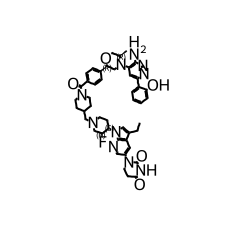 CCc1cn([C@H]2CCN(CC3CCN(C(=O)c4ccc([C@@H]5CN(c6cc(-c7ccccc7O)nnc6N)[C@H](C)CO5)cc4)CC3)C[C@H]2F)c2ncc(N3CCC(=O)NC3=O)cc12